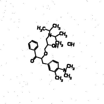 Cc1cc(CC(OCC(O)CN(C(C)C)C(C)C)C(=O)c2ccccc2)ccc1N(C)C.Cl